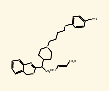 COc1ccc(OCCCCN2CCC(N(C)C3=Nc4ccccc4CS3)CC2)cc1.O=C(O)C=CC(=O)O